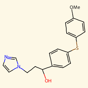 COc1ccc(Sc2ccc(C(O)CCn3ccnc3)cc2)cc1